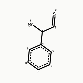 S=[C]C(Br)c1ccccc1